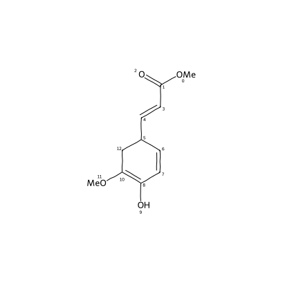 COC(=O)C=CC1C=CC(O)=C(OC)C1